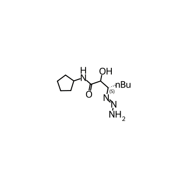 CCCC[C@H](N=NN)C(O)C(=O)NC1CCCC1